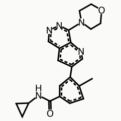 Cc1ccc(C(=O)NC2CC2)cc1-c1cnc2c(N3CCOCC3)nncc2c1